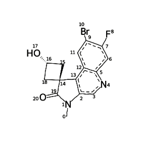 CN1c2cnc3cc(F)c(Br)cc3c2[C@]2(C[C@@H](O)C2)C1=O